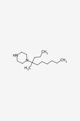 CCCCCCC(C)(CCC)N1CCNCC1